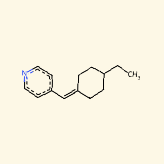 CCC1CCC(=Cc2ccncc2)CC1